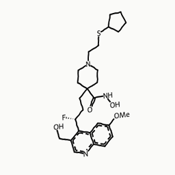 COc1ccc2ncc(CO)c([C@H](F)CCC3(C(=O)NO)CCN(CCSC4CCCC4)CC3)c2c1